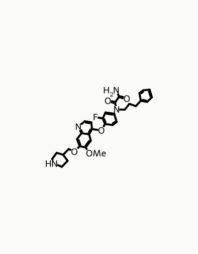 COc1cc2c(Oc3ccc(N(CCCc4ccccc4)C(=O)C(N)=O)cc3F)ccnc2cc1OCC1CCNCC1